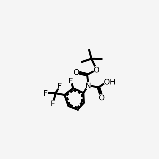 CC(C)(C)OC(=O)N(C(=O)O)c1cccc(C(F)(F)F)c1F